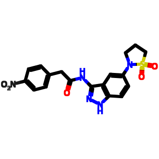 O=C(Cc1ccc([N+](=O)[O-])cc1)Nc1n[nH]c2ccc(N3CCCS3(=O)=O)cc12